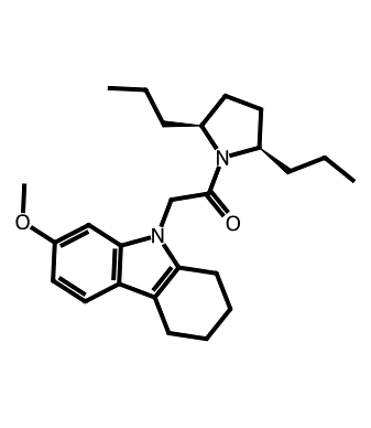 CCC[C@@H]1CC[C@H](CCC)N1C(=O)Cn1c2c(c3ccc(OC)cc31)CCCC2